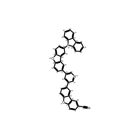 N#Cc1ccc2oc3ccc(-c4cncc(-c5ccc6oc7ccc(-n8c9ccccc9c9ccccc98)cc7c6c5)c4)cc3c2c1